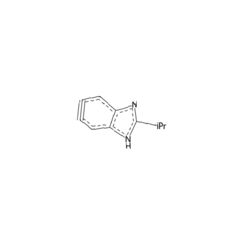 CC(C)c1nc2cc#ccc2[nH]1